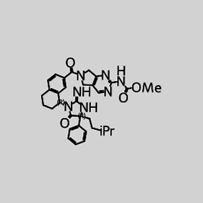 COC(=O)Nc1ncc2c(n1)CN(C(=O)c1ccc3c(c1)[C@H](N1C(=N)N[C@](CCC(C)C)(c4ccccc4)C1=O)CCC3)C2